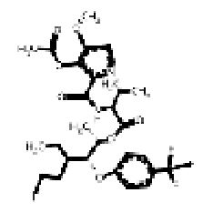 CCC(CCI)[C@@H](Oc1ccc(C(F)(F)F)cc1)[C@H](C)OC(=O)[C@@H](NC(=O)c1nccc(OC)c1OC(C)=O)C(C)C